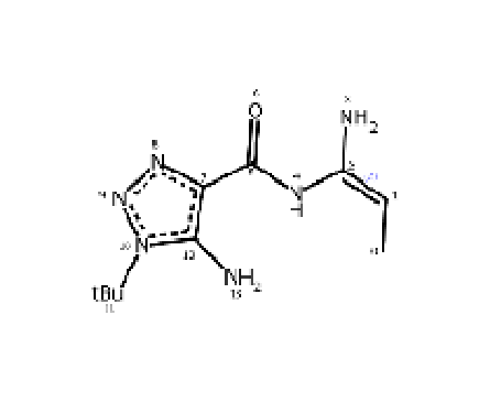 C/C=C(/N)NC(=O)c1nnn(C(C)(C)C)c1N